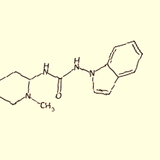 CN1CCCCC1NC(=O)Nn1ccc2ccccc21